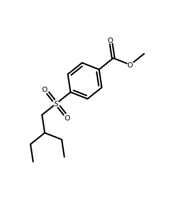 CCC(CC)CS(=O)(=O)c1ccc(C(=O)OC)cc1